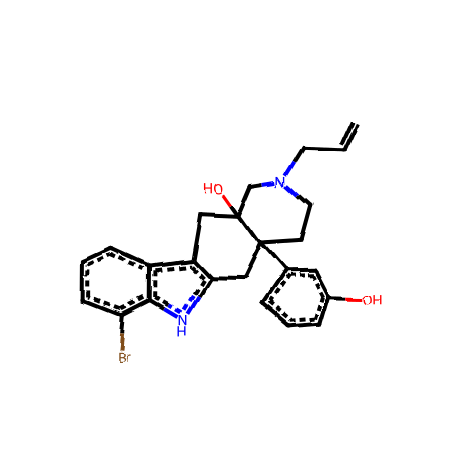 C=CCN1CCC2(c3cccc(O)c3)Cc3[nH]c4c(Br)cccc4c3CC2(O)C1